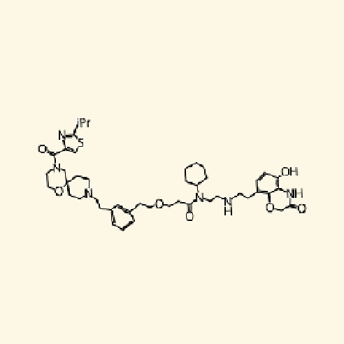 CC(C)c1nc(C(=O)N2CCOC3(CCN(CCc4cccc(CCOCCC(=O)N(CCNCCc5ccc(O)c6c5OCC(=O)N6)C5CCCCC5)c4)CC3)C2)cs1